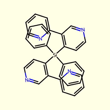 c1ccc([Si](c2ccccc2)(c2ccncc2-c2ccccn2)c2ccncc2-c2ccccn2)cc1